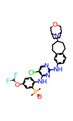 CP(C)(=O)c1cc(OC(F)F)ccc1Nc1nc(Nc2ccc3c(c2)CCC(N2C4CCC2COC4)CC3)ncc1Cl